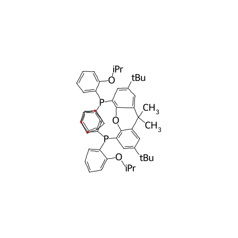 CC(C)Oc1ccccc1P(c1ccccc1)c1cc(C(C)(C)C)cc2c1Oc1c(P(c3ccccc3)c3ccccc3OC(C)C)cc(C(C)(C)C)cc1C2(C)C